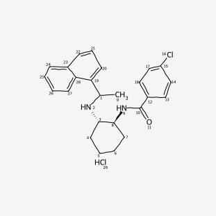 CC(N[C@H]1CCCC[C@@H]1NC(=O)c1ccc(Cl)cc1)c1cccc2ccccc12.Cl